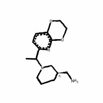 CC(c1ccc2c(n1)OCCO2)N1CCC[C@H](CN)C1